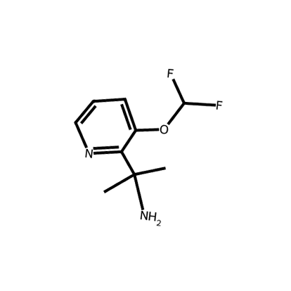 CC(C)(N)c1ncccc1OC(F)F